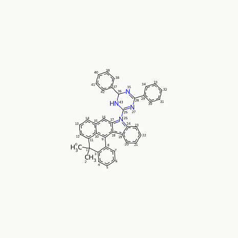 CC1(C)c2ccccc2-c2c3c1cccc3cc1c2c2ccccc2n1C1=NC(c2ccccc2)=NC(c2ccccc2)N1